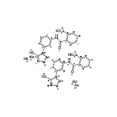 O=C(Nc1cccc(-n2nnnc2S)c1)c1ccccc1S(=O)(=O)O.O=C(Nc1cccc(-n2nnnc2S)c1)c1ccccc1S(=O)(=O)O.[Au].[KH].[KH].[KH]